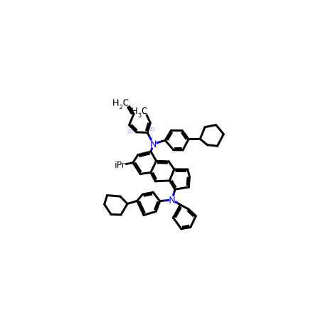 C=C/C=C\C(=C/C)N(c1ccc(C2CCCCC2)cc1)c1cc(C(C)C)cc2cc3c(N(c4ccccc4)c4ccc(C5CCCCC5)cc4)cccc3cc12